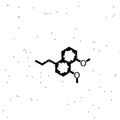 CCCc1ccc(OC)c2c(OC)cccc12